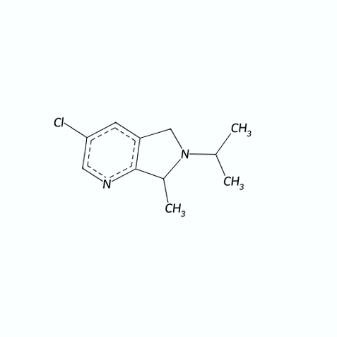 CC(C)N1Cc2cc(Cl)cnc2C1C